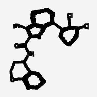 CC(C)c1c(C(=O)NC2CCOc3ccccc32)sc2c(-c3cccc(Cl)c3Cl)cccc12